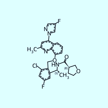 Cc1cc(-n2cc(F)cn2)c2cccc(OCc3c(Cl)cc(F)cc3[C@H](C)NC(=O)[C@@H]3CCOC3)c2n1